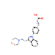 O=C(O)/C=C/c1ccc(-n2cc(CCN3CCOCC3)c3ccccc32)cc1